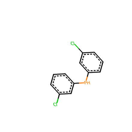 Clc1cccc(Pc2cccc(Cl)c2)c1